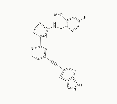 COc1cc(F)ccc1CNc1nccc(-c2nccc(C#Cc3ccc4[nH]ncc4c3)n2)n1